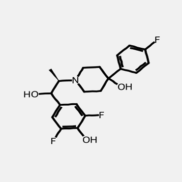 C[C@H](C(O)c1cc(F)c(O)c(F)c1)N1CCC(O)(c2ccc(F)cc2)CC1